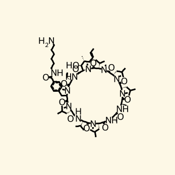 C/C=C/C[C@@H](C)[C@@H](O)[C@H]1C(=O)N[C@@H](CC)C(=O)N(C)C(Cc2ccc(C(=O)NCCCCCCN)cc2)C(=O)N(C)[C@@H](CC(C)C)C(=O)N[C@@H](C(C)C)C(=O)N(C)[C@@H](CC(C)C)C(=O)N[C@@H](C)C(=O)N[C@H](C)C(=O)N(C)[C@@H](CC(C)C)C(=O)N(C)[C@@H](CC(C)C)C(=O)N(C)[C@@H](C(C)C)C(=O)N1C